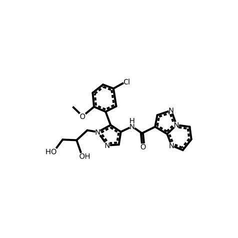 COc1ccc(Cl)cc1-c1c(NC(=O)c2cnn3cccnc23)cnn1CC(O)CO